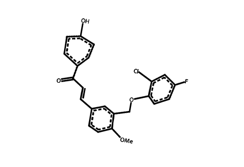 COc1ccc(/C=C/C(=O)c2ccc(O)cc2)cc1COc1ccc(F)cc1Cl